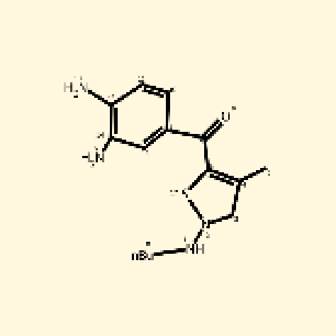 CCCCNN1CC(C)=C(C(=O)c2ccc(N)c(N)c2)S1